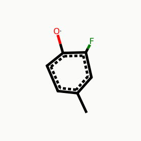 Cc1ccc([O])c(F)c1